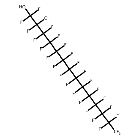 OC(F)(F)C(O)(F)C(F)(F)C(F)(F)C(F)(F)C(F)(F)C(F)(F)C(F)(F)C(F)(F)C(F)(F)C(F)(F)C(F)(F)C(F)(F)C(F)(F)F